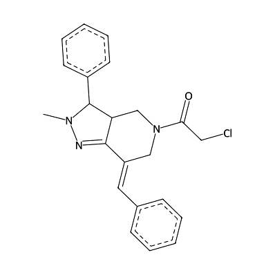 CN1N=C2C(=Cc3ccccc3)CN(C(=O)CCl)CC2C1c1ccccc1